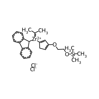 C[C](C)=[Zr+2]([C]1=CC(OCCO[Si](C)(C)C)=CC1)[CH]1c2ccccc2-c2ccccc21.[Cl-].[Cl-]